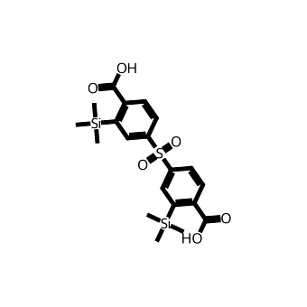 C[Si](C)(C)c1cc(S(=O)(=O)c2ccc(C(=O)O)c([Si](C)(C)C)c2)ccc1C(=O)O